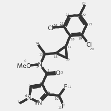 CON(C(=O)c1cn(C)nc1C(F)F)C(C)C1CC1c1c(Cl)cc(C)cc1Cl